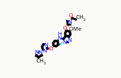 C=CC(=O)N1CC(Oc2cc3c(Nc4ccc(Oc5nccc(-n6cc(C)cn6)n5)cc4F)ncnc3cc2OC)C1